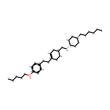 CCCCCC[C@H]1CC[C@H](CCC2CC=C(CCc3ccc(OCCCCC)cc3)CC2)CC1